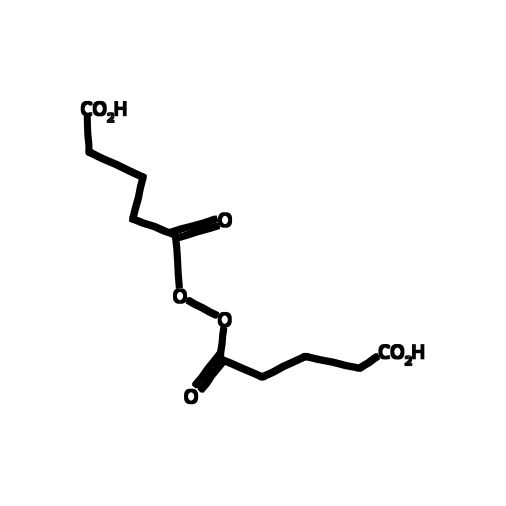 O=C(O)CCCC(=O)OOC(=O)CCCC(=O)O